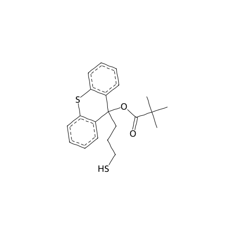 CC(C)(C)C(=O)OC1(CCCS)c2ccccc2Sc2ccccc21